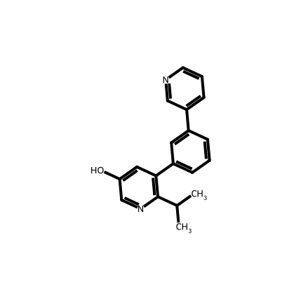 CC(C)c1ncc(O)cc1-c1cccc(-c2cccnc2)c1